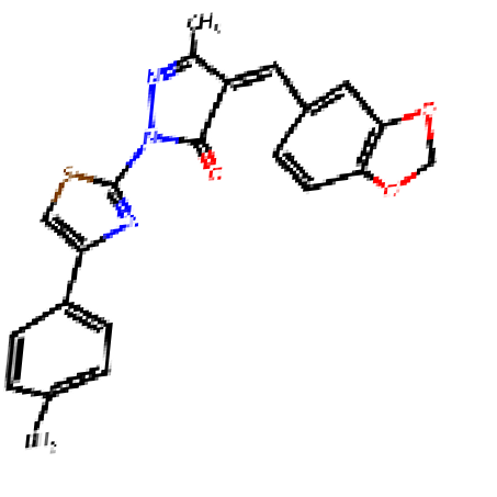 Bc1ccc(-c2csc(N3N=C(C)/C(=C/c4ccc5c(c4)OCO5)C3=O)n2)cc1